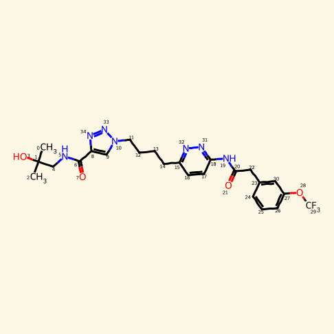 CC(C)(O)CNC(=O)c1cn(CCCCc2ccc(NC(=O)Cc3cccc(OC(F)(F)F)c3)nn2)nn1